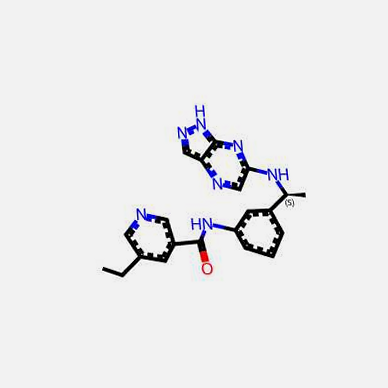 CCc1cncc(C(=O)Nc2cccc([C@H](C)Nc3cnc4cn[nH]c4n3)c2)c1